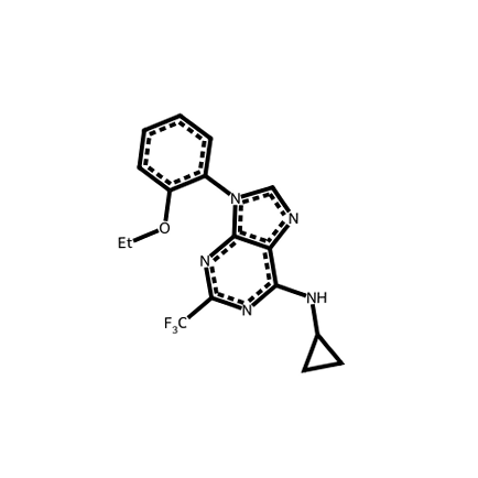 CCOc1ccccc1-n1cnc2c(NC3CC3)nc(C(F)(F)F)nc21